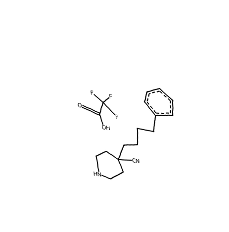 N#CC1(CCCCc2ccccc2)CCNCC1.O=C(O)C(F)(F)F